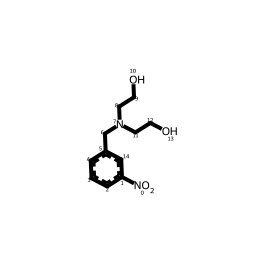 O=[N+]([O-])c1cccc(CN(CCO)CCO)c1